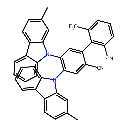 Cc1ccc2c3ccccc3n(-c3cc(C#N)c(-c4c(C#N)cccc4C(F)(F)F)cc3-n3c4ccccc4c4ccc(C)cc43)c2c1